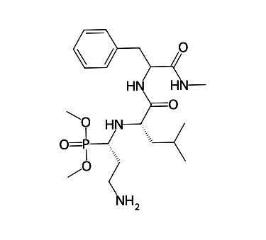 CNC(=O)C(Cc1ccccc1)NC(=O)[C@H](CC(C)C)N[C@H](CCN)P(=O)(OC)OC